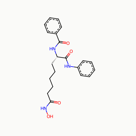 O=C(CCCCC[C@H](NC(=O)c1ccccc1)C(=O)Nc1ccccc1)NO